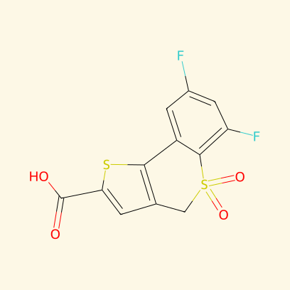 O=C(O)c1cc2c(s1)-c1cc(F)cc(F)c1S(=O)(=O)C2